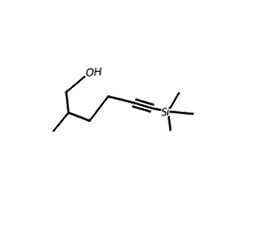 CC(CO)CCC#C[Si](C)(C)C